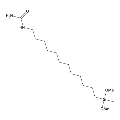 CO[Si](C)(CCCCCCCCCCCCNC(N)=O)OC